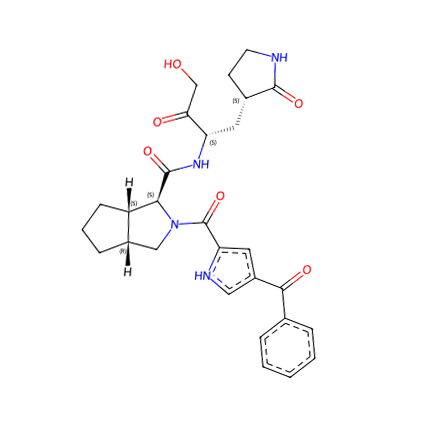 O=C(c1ccccc1)c1c[nH]c(C(=O)N2C[C@@H]3CCC[C@@H]3[C@H]2C(=O)N[C@@H](C[C@@H]2CCNC2=O)C(=O)CO)c1